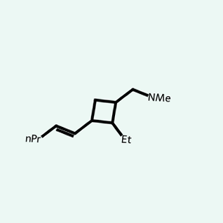 CCCC=CC1CC(CNC)C1CC